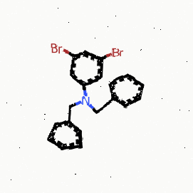 Brc1cc(Br)cc(N(Cc2ccccc2)Cc2ccccc2)c1